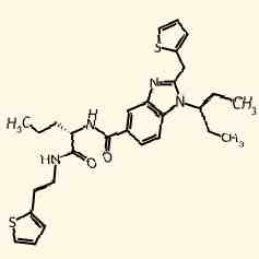 CCC[C@H](NC(=O)c1ccc2c(c1)nc(Cc1cccs1)n2C(CC)CC)C(=O)NCCc1cccs1